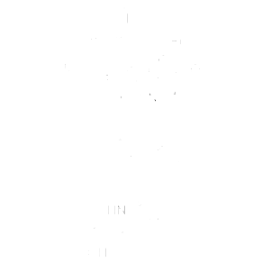 CC(C)(C)OC(=O)CN(c1ccc2cc(C(=O)NCCO)ccc2c1)S(=O)(=O)c1cc(Cl)cc(Cl)c1